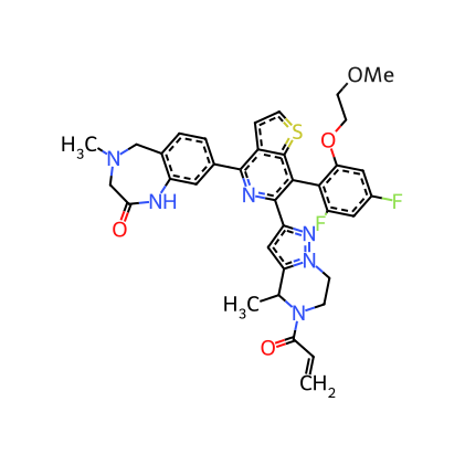 C=CC(=O)N1CCn2nc(-c3nc(-c4ccc5c(c4)NC(=O)CN(C)C5)c4ccsc4c3-c3c(F)cc(F)cc3OCCOC)cc2C1C